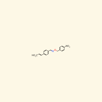 O=C(O)C=Cc1ccc(C=NOCc2ccc([N+](=O)[O-])cc2)cc1